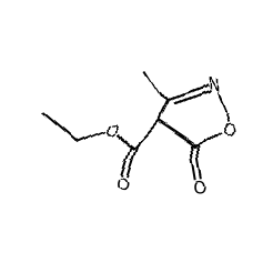 CCOC(=O)C1C(=O)ON=C1C